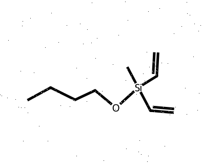 C=C[Si](C)(C=C)OCCCC